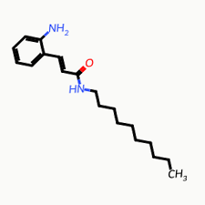 CCCCCCCCCCNC(=O)C=Cc1ccccc1N